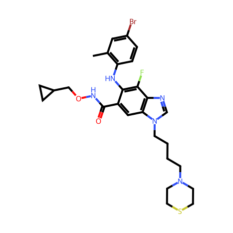 Cc1cc(Br)ccc1Nc1c(C(=O)NOCC2CC2)cc2c(ncn2CCCCN2CCSCC2)c1F